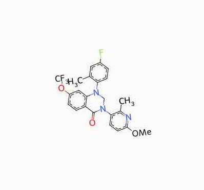 COc1ccc(N2CN(c3ccc(F)cc3C)c3cc(OC(F)(F)F)ccc3C2=O)c(C)n1